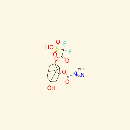 O=C(OC12CC3CC(O)(C1)CC(OC(=O)C(F)(F)S(=O)(=O)O)(C3)C2)n1ccnc1